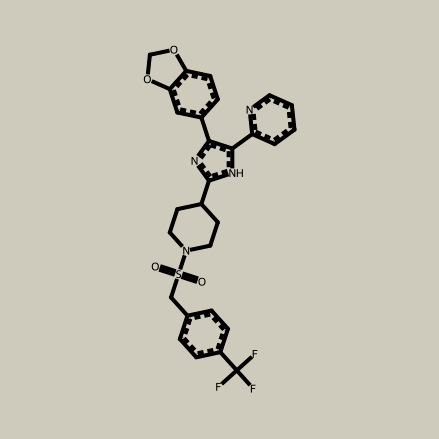 O=S(=O)(Cc1ccc(C(F)(F)F)cc1)N1CCC(c2nc(-c3ccc4c(c3)OCO4)c(-c3ccccn3)[nH]2)CC1